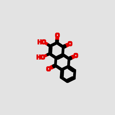 O=c1c(O)c(O)c2c(=O)c3ccccc3c(=O)c=2c1=O